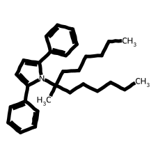 CCCCCCC(C)(CCCCCC)n1c(-c2ccccc2)ccc1-c1ccccc1